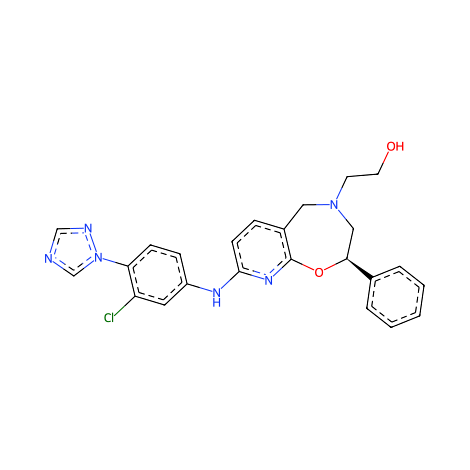 OCCN1Cc2ccc(Nc3ccc(-n4cncn4)c(Cl)c3)nc2O[C@H](c2ccccc2)C1